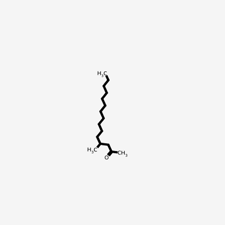 CCCCCCCCCCCC(C)CC(C)=O